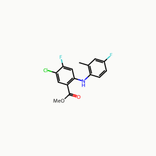 COC(=O)c1cc(Cl)c(F)cc1Nc1ccc(F)cc1C